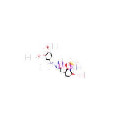 COc1ccc(C(C)NC[C@@H](O)Cc2ccc(O)c(NS(C)(=O)=O)c2)cc1OC